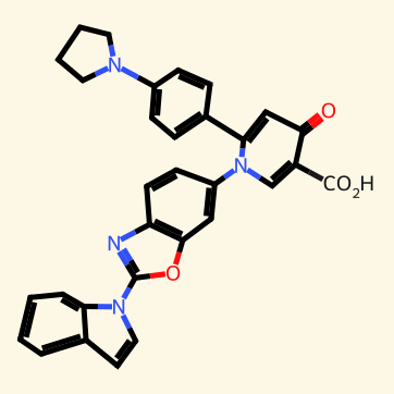 O=C(O)c1cn(-c2ccc3nc(-n4ccc5ccccc54)oc3c2)c(-c2ccc(N3CCCC3)cc2)cc1=O